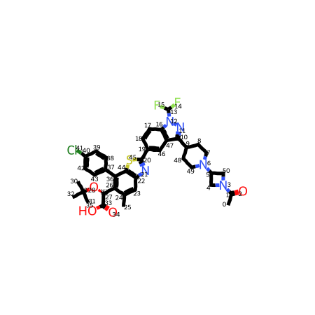 CC(=O)N1CC(N2CCC(c3nn(C(F)F)c4ccc(-c5nc6cc(C)c([C@H](OC(C)(C)C)C(=O)O)c(-c7ccc(Cl)cc7)c6s5)cc34)CC2)C1